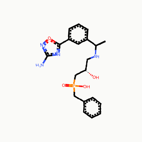 CC(NC[C@H](O)CP(=O)(O)Cc1ccccc1)c1cccc(-c2nc(N)no2)c1